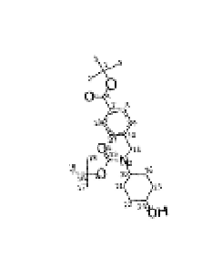 CC(C)(C)OC(=O)c1ccc(CN(C(=O)OC(C)(C)C)C2CCC(O)CC2)cc1